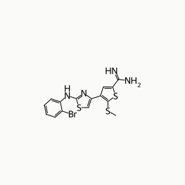 CSc1sc(C(=N)N)cc1-c1csc(Nc2ccccc2Br)n1